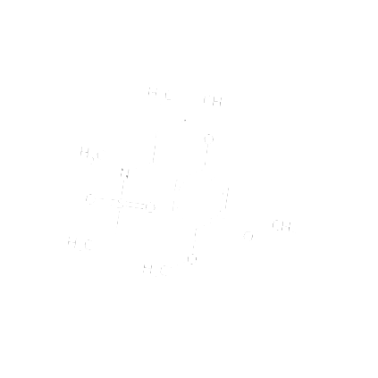 CCS(=O)(=O)N(C)C1CC(C)(C)Oc2cc(OC)c(OC)cc21